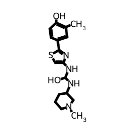 Cc1cc(-c2nc(NC(O)NC3CCCN(C)C3)cs2)ccc1O